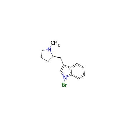 CN1CCC[C@@H]1Cc1cn(Br)c2ccccc12